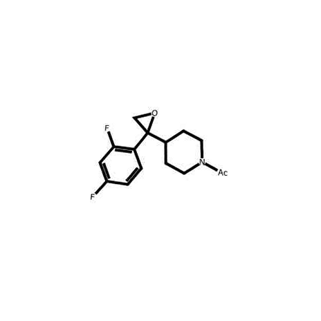 CC(=O)N1CCC(C2(c3ccc(F)cc3F)CO2)CC1